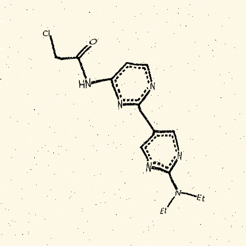 CCN(CC)c1ncc(-c2nccc(NC(=O)CCl)n2)cn1